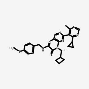 Cc1ncnc(C2CC2)c1-c1ncc2nc(NCc3ccc(SN)cc3)c(=O)n([C@H](C)C3CCC3)c2n1